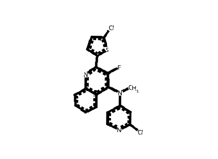 CN(c1ccnc(Cl)c1)c1c(F)c(-c2ccc(Cl)s2)nc2ccccc12